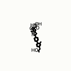 Cc1cc(CC(C)O)ccc1-c1ccc(C2=NOC(CC(C)(C(=O)NO)S(C)(=O)=O)C2)cc1